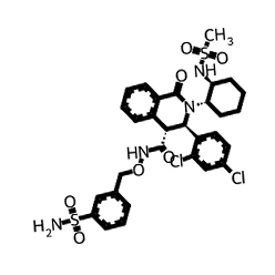 CS(=O)(=O)N[C@H]1CCCC[C@@H]1N1C(=O)c2ccccc2[C@@H](C(=O)NOCc2cccc(S(N)(=O)=O)c2)[C@@H]1c1ccc(Cl)cc1Cl